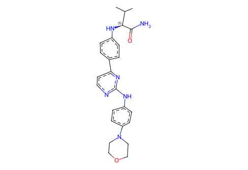 CC(C)[C@H](Nc1ccc(-c2ccnc(Nc3ccc(N4CCOCC4)cc3)n2)cc1)C(N)=O